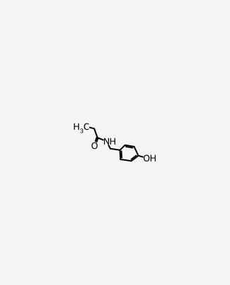 CCC(=O)NCc1ccc(O)cc1